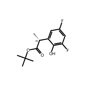 C[C@@H](C(=O)OC(C)(C)C)c1cc(F)cc(F)c1O